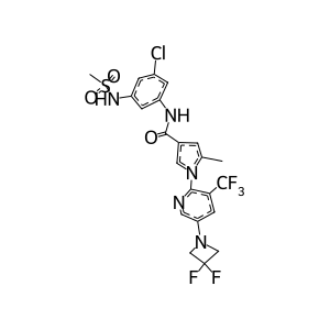 Cc1cc(C(=O)Nc2cc(Cl)cc(NS(C)(=O)=O)c2)cn1-c1ncc(N2CC(F)(F)C2)cc1C(F)(F)F